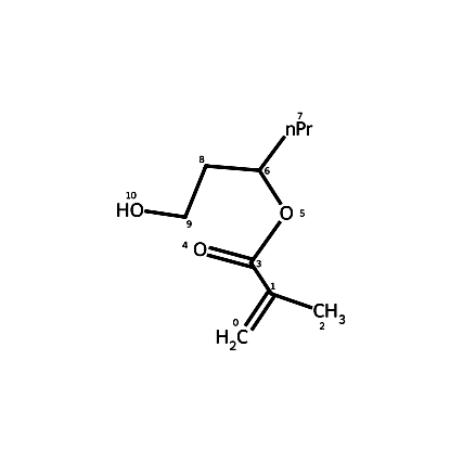 C=C(C)C(=O)OC(CCC)CCO